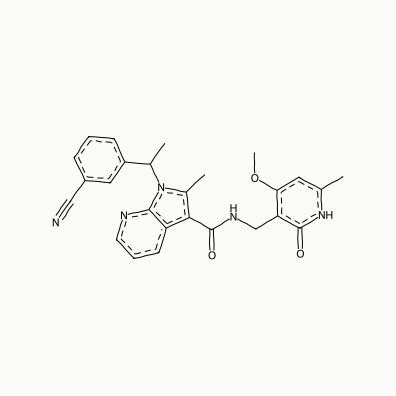 COc1cc(C)[nH]c(=O)c1CNC(=O)c1c(C)n(C(C)c2cccc(C#N)c2)c2ncccc12